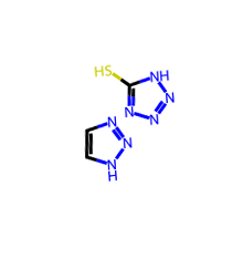 Sc1nnn[nH]1.c1c[nH]nn1